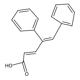 O=C(O)C=CC(=Cc1ccccc1)c1ccccc1